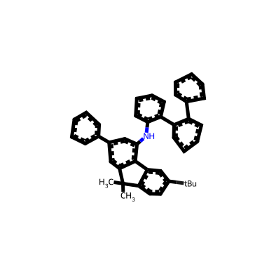 CC(C)(C)c1ccc2c(c1)-c1c(Nc3ccccc3-c3ccccc3-c3ccccc3)cc(-c3ccccc3)cc1C2(C)C